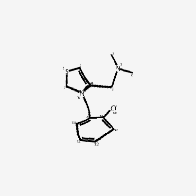 CN(C)CC1=CSCN1c1ccccc1Cl